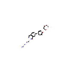 Cc1cc(-c2ccc3ccn(CC(=O)NCCN)c(=O)c3c2)ccc1O[C@H]1O[C@@H](CO)C(O)C(O)[C@H]1O